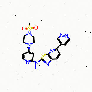 CS(=O)(=O)N1CCN(c2ccnc(Nc3nc4ccc(-c5ccnnc5)nc4s3)c2)CC1